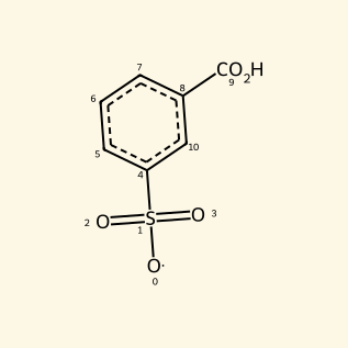 [O]S(=O)(=O)c1cccc(C(=O)O)c1